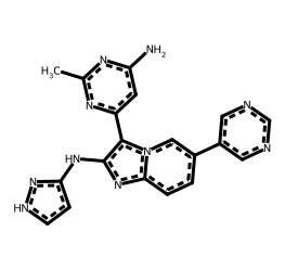 Cc1nc(N)cc(-c2c(Nc3cc[nH]n3)nc3ccc(-c4cncnc4)cn23)n1